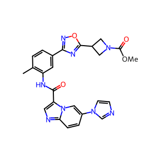 COC(=O)N1CC(c2nc(-c3ccc(C)c(NC(=O)c4cnc5ccc(-n6ccnc6)cn45)c3)no2)C1